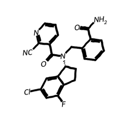 N#Cc1ncccc1C(=O)N(Cc1ccccc1C(N)=O)[C@@H]1CCc2c(F)cc(Cl)cc21